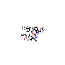 COC(=O)c1ccc([C@H](C)NC(=O)c2nn(C3CCCCO3)c3cccc(Cc4ccc(C(F)(F)F)cc4)c23)cc1